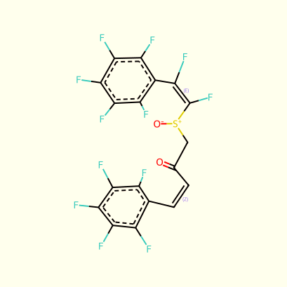 O=C(/C=C\c1c(F)c(F)c(F)c(F)c1F)C[S+]([O-])/C(F)=C(/F)c1c(F)c(F)c(F)c(F)c1F